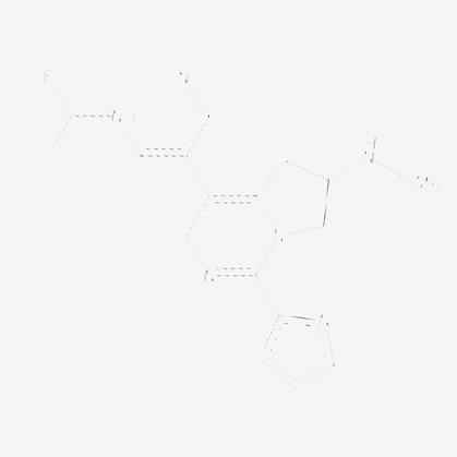 CSNC1CC2=C(/C(C=N)=C/NC(F)F)CN=C(c3nccs3)N2C1